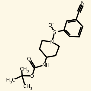 CC(C)(C)OC(=O)NC1CCN([S+]([O-])c2cccc(C#N)c2)CC1